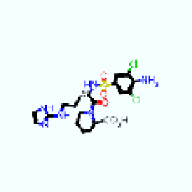 Nc1c(Cl)cc(S(=O)(=O)N[C@@H](CCCNc2ncc[nH]2)C(=O)N2CCCCC2C(=O)O)cc1Cl